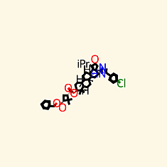 CC(C)C1=C2[C@H]3CC[C@@H]4[C@@]5(C)CC[C@H](OC(=O)[C@H]6C[C@@H](C(=O)OCc7ccccc7)C6(C)C)C(C)(C)[C@@H]5CC[C@@]4(C)[C@]3(C)CC[C@@]2(c2ncc(-c3ccc(Cl)cc3)[nH]2)CC1=O